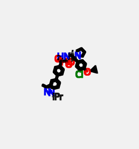 Cc1nn(C(C)C)c2ccc(-c3ccc(C(=O)C(=O)N[C@H](C)[C@](O)(c4ccc(OC5CC5)c(Cl)c4)N4CCCC4)cc3)cc12